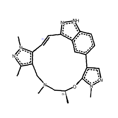 Cc1nn(C)c2c1CN(C)C[C@H](C)Oc1c(cnn1C)-c1ccc3[nH]nc(c3c1)/C=C/2